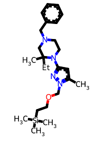 CCC1(C)CN(Cc2ccccc2)CCN1c1cc(C)n(COCC[Si](C)(C)C)n1